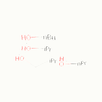 CC(C)CO.CC(C)O.CCCCO.CCCO